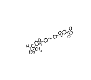 CC(C)(C)CC(C)(C)c1ccc2oc(-c3ccc(C=Cc4ccc(-c5nc6cc(N7C(=O)C=CC7=O)ccc6o5)cc4)cc3)nc2c1